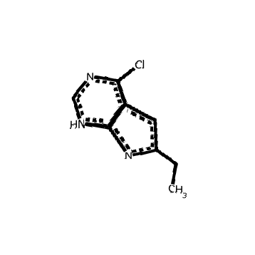 CCc1cc2c(Cl)nc[nH]c-2n1